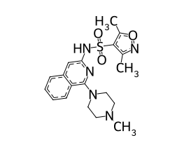 Cc1noc(C)c1S(=O)(=O)Nc1cc2ccccc2c(N2CCN(C)CC2)n1